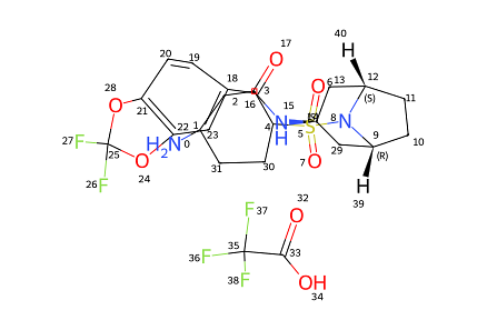 NC1CCC(S(=O)(=O)N2[C@@H]3CC[C@H]2C[C@H](NC(=O)c2ccc4c(c2)OC(F)(F)O4)C3)CC1.O=C(O)C(F)(F)F